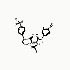 [C-]#[N+]c1ccc(NC(=O)[C@H](OC(C)=O)[C@H]2OCCN(c3ccc(C(F)(F)F)cc3)C2=O)cc1F